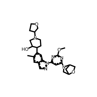 COc1nc(N2CC3CC2CO3)cc(-n2ncc3cc(C)c(C4CCN(C5CCOC5)CC4O)cc32)n1